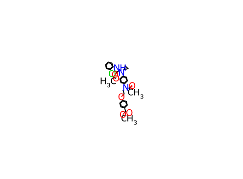 COC(=O)c1ccc(OCCN(C(C)=O)c2ccc(N(C(=O)Nc3ccccc3Cl)C3CC3)c(OC)c2)cc1